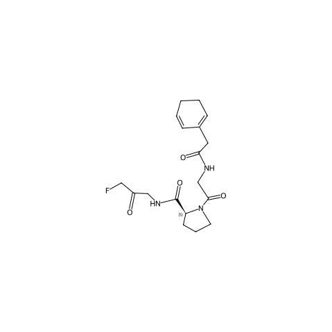 O=C(CF)CNC(=O)[C@@H]1CCCN1C(=O)CNC(=O)CC1=CCCC=C1